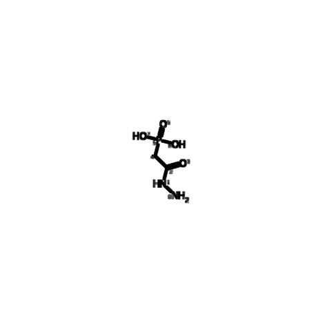 NNC(=O)CP(=O)(O)O